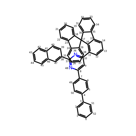 c1ccc(-c2ccc(-c3cc(-c4cccc5c4C4(c6ccccc6-c6ccccc64)c4ccccc4-5)nc(-c4ccc5ccccc5c4)n3)cc2)cc1